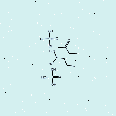 CCC(C)=O.CCCC(N)O.O=P(O)(O)O.O=P(O)(O)O